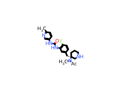 CC(=O)N(C)[C@@]1(Cc2ccc(F)c(NC(=O)Nc3ccc(C)nc3)c2)CCCNC1